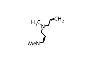 C=CCN(C)C/C=C\NC